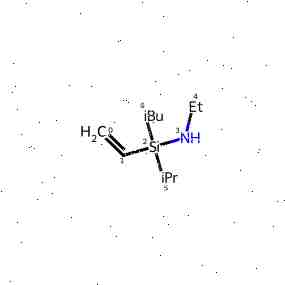 C=C[Si](NCC)(C(C)C)C(C)CC